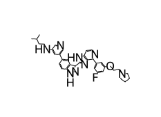 CC(C)CCNc1cncc(-c2ccc3[nH]nc(-c4nc5c(-c6cc(F)cc(OCCN7CCCC7)c6)nccc5[nH]4)c3c2)c1